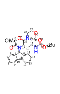 COC(=O)N(C1c2ccccc2-c2ccccc21)[C@@H](CCNC(=O)OC(C)(C)C)C(=O)N1CCOCC1